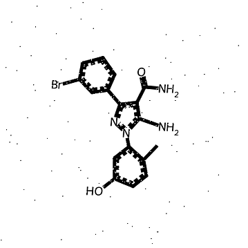 Cc1ccc(O)cc1-n1nc(-c2cccc(Br)c2)c(C(N)=O)c1N